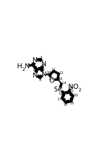 Nc1ncnc2c1ncn2[C@H]1CC[C@@H](C[Se]c2ccccc2[N+](=O)[O-])O1